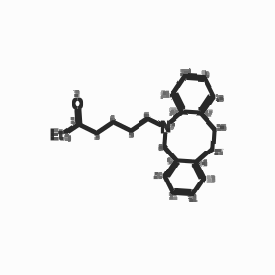 CCC(=O)CCCCN1Cc2ccccc2CCc2ccccc21